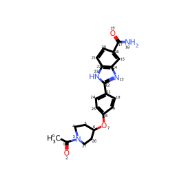 CC(=O)N1CCC(Oc2ccc(-c3nc4cc(C(N)=O)ccc4[nH]3)cc2)CC1